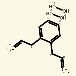 C=CCc1ccccc1CC=C.OO.OO